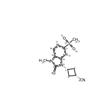 Cn1c(=O)n([C@H]2C[C@@H](C#N)C2)c2nc(S(C)(=O)=O)ncc21